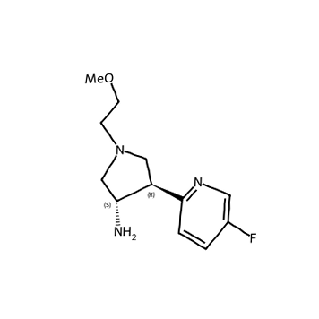 COCCN1C[C@@H](N)[C@H](c2ccc(F)cn2)C1